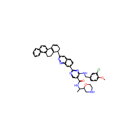 COc1ccc(CNc2nc(-c3ccc4cc(C5CC=CC6=C5CCc5c6ccc6ccccc56)nnc4c3)ncc2C(=O)NC(C)C2CNCCO2)cc1Cl